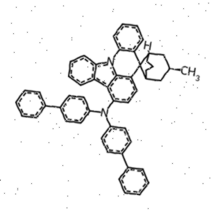 C[C@H]1CC2CCC[C@H](C1)C21c2ccccc2-n2c3ccccc3c3c(N(c4ccc(-c5ccccc5)cc4)c4ccc(-c5ccccc5)cc4)ccc1c32